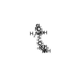 CN(Cc1n[nH]c2c1CCC2)C(=O)c1ccc(CCCC[C@@H](N)[C@H](O)c2ccc(Cl)nc2)cc1